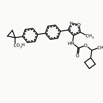 Cc1onc(-c2ccc(-c3ccc(C4(C(=O)O)CC4)cc3)cc2)c1NC(=O)OC(C)C1CCC1